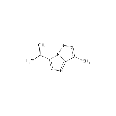 Cc1c[nH]n2c(C(C)C)cnc12